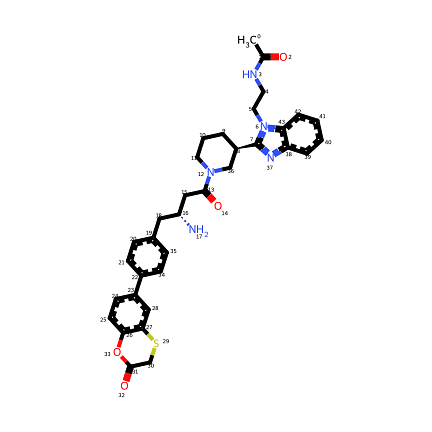 CC(=O)NCCn1c([C@@H]2CCCN(C(=O)C[C@H](N)Cc3ccc(-c4ccc5c(c4)SCC(=O)O5)cc3)C2)nc2ccccc21